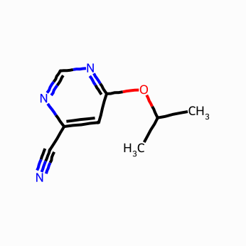 CC(C)Oc1cc(C#N)ncn1